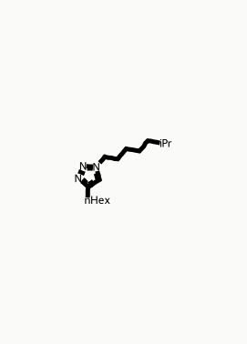 CCCCCCc1cn(CCCCCC(C)C)nn1